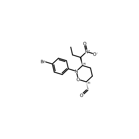 CCC([C@H]1CC[C@H](C=O)ON1c1ccc(Br)cc1)[N+](=O)[O-]